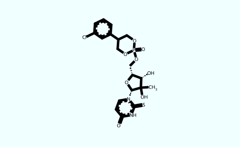 CC1(O)[C@@H](O)[C@@H](COP2(=O)OCC(c3cccc(Cl)c3)CO2)O[C@H]1n1ccc(=O)[nH]c1=S